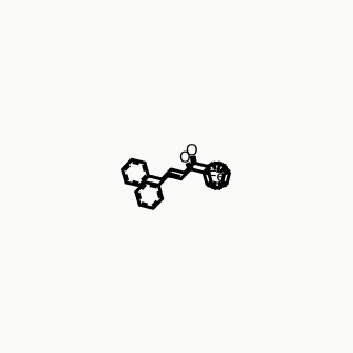 O=C(C=Cc1ccccc1)[C]12[CH]3[CH]4[CH]5[CH]1[Fe]45321678[CH]2[CH]1[CH]6[C]7(C(=O)CCCc1ccccc1)[CH]28